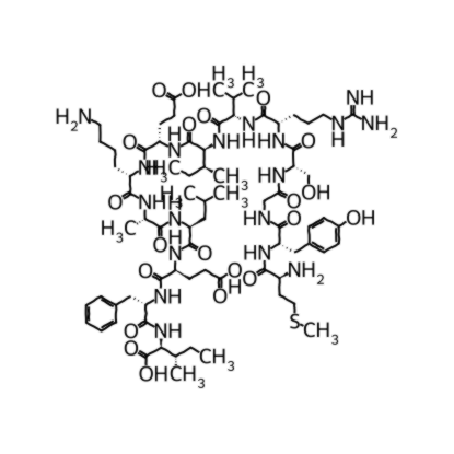 CC[C@H](C)[C@H](NC(=O)[C@H](Cc1ccccc1)NC(=O)[C@H](CCC(=O)O)NC(=O)[C@H](CC(C)C)NC(=O)[C@H](C)NC(=O)[C@H](CCCCN)NC(=O)[C@H](CCC(=O)O)NC(=O)[C@@H](NC(=O)[C@@H](NC(=O)[C@H](CCCNC(=N)N)NC(=O)[C@H](CO)NC(=O)CNC(=O)[C@H](Cc1ccc(O)cc1)NC(=O)[C@@H](N)CCSC)C(C)C)[C@@H](C)CC)C(=O)O